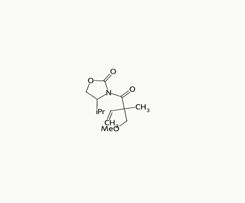 C=CC(C)(COC)C(=O)N1C(=O)OCC1C(C)C